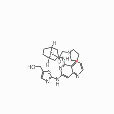 O=C(CN1CCCC1)N1[C@@H]2CC[C@H]1C[C@H](Nc1nc(Nc3ncc(CO)s3)cc3ncccc13)C2